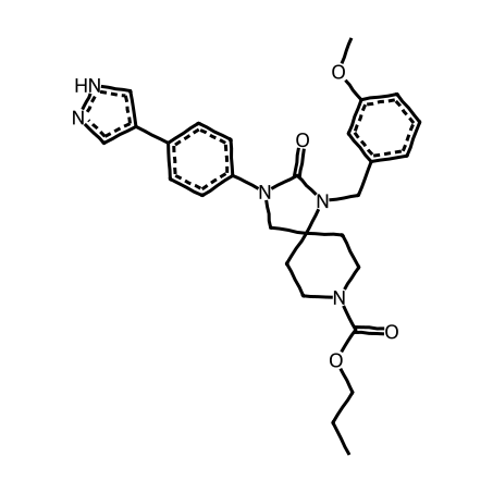 CCCOC(=O)N1CCC2(CC1)CN(c1ccc(-c3cn[nH]c3)cc1)C(=O)N2Cc1cccc(OC)c1